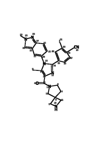 Cc1c(C(=O)N2CCC3(CNC3)C2)nc(-c2ccc(C#N)c(I)c2)n1-c1ccc2nn(C)cc2c1